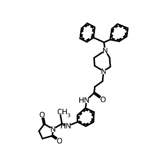 CC(Nc1cccc(NC(=O)CCN2CCN(C(c3ccccc3)c3ccccc3)CC2)c1)N1C(=O)CCC1=O